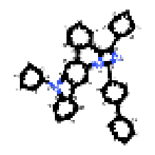 c1ccc(-c2ccc(-c3nc(-c4ccccc4)c4c5ccccc5c5cc6c(cc5n34)c3ccccc3n6-c3ccccc3)cc2)cc1